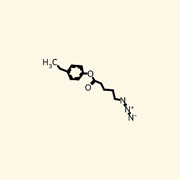 CCc1ccc(OC(=O)CCCCN=[N+]=[N-])cc1